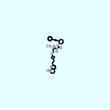 O=C(NC(CCOC1CC(CCc2ccc3c(n2)NCCC3)C1)C(=O)O)OC1CCCCC1C#Cc1ccccc1